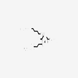 CCCCCCCCCCCCCC(=O)N[C@H](CC(N)=O)C(=O)N[C@@H](C)CCC(=O)OC